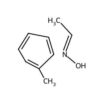 CC=NO.Cc1ccccc1